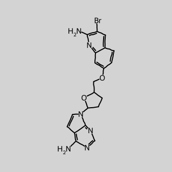 Nc1nc2cc(OCC3CCC(n4ccc5c(N)ncnc54)O3)ccc2cc1Br